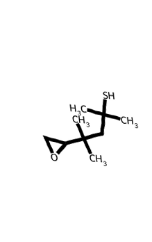 CC(C)(S)CC(C)(C)C1CO1